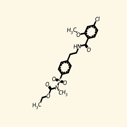 CCOC(=O)N(C)S(=O)(=O)c1ccc(CCNC(=O)c2ccc(Cl)cc2OC)cc1